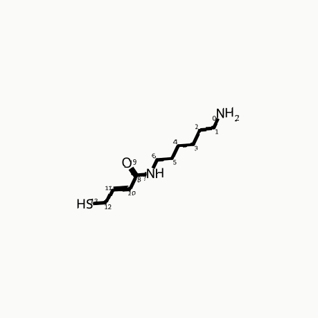 NCCCCCCNC(=O)/C=C/CS